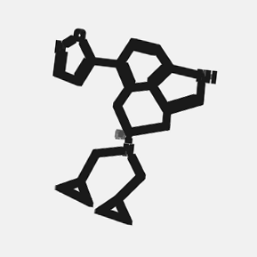 c1cc(-c2ccc3[nH]cc4c3c2C[C@@H](N(CC2CC2)CC2CC2)C4)on1